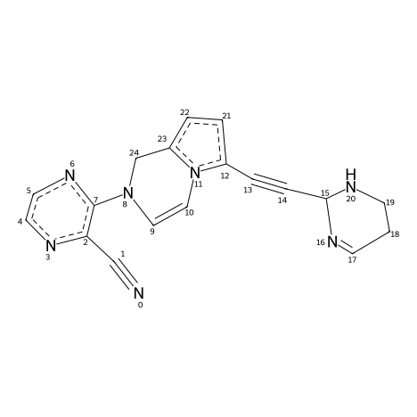 N#Cc1nccnc1N1C=Cn2c(C#CC3N=CCCN3)ccc2C1